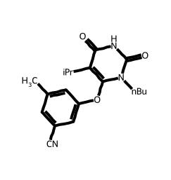 CCCCn1c(Oc2cc(C)cc(C#N)c2)c(C(C)C)c(=O)[nH]c1=O